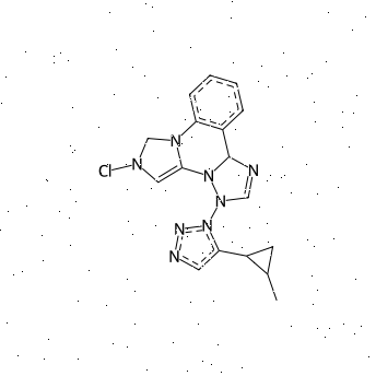 CC1CC1c1cnnn1N1C=NC2c3ccccc3N3CN(Cl)C=C3N21